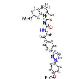 COc1ccc(C(C)C)c(-n2c(C)cs/c2=N\C(=O)NC(F)C(F)c2ccc(-c3ncn(-c4ccc(OC(F)(F)F)cc4)n3)cc2)c1